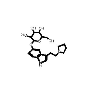 OCC1OC(Oc2ccc3[nH]cc(CCN4CCCC4)c3c2)C(O)C(O)C1O